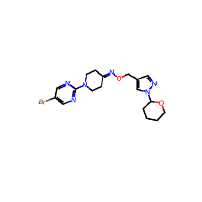 Brc1cnc(N2CCC(=NOCc3cnn(C4CCCCO4)c3)CC2)nc1